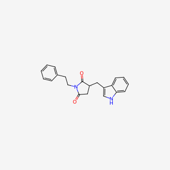 O=C1C[C](Cc2c[nH]c3ccccc23)C(=O)N1CCc1ccccc1